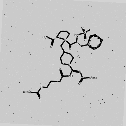 CCCCCC(=O)N=C(NC(=O)CCCOC(=O)CCCCC)N1CCC(C[N+]2(C(=O)[C@@H](Cc3ccccc3)NS(C)(=O)=O)CCC[C@H]2C(N)=O)CC1